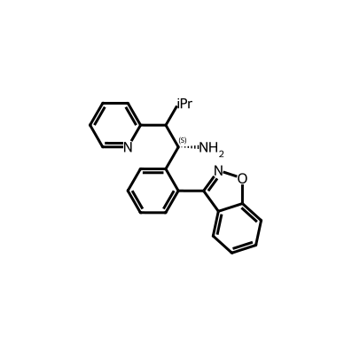 CC(C)C(c1ccccn1)[C@H](N)c1ccccc1-c1noc2ccccc12